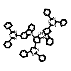 N#Cc1c(-n2c3ccccc3c3cc(-c4nc(-c5ccccc5)nc(-c5ccccc5)n4)ccc32)cc(-c2cc(-c3ccccc3)nc(-c3ccccc3)n2)cc1-n1c2ccccc2c2cc(-c3nc(-c4ccccc4)nc(-c4ccccc4)n3)ccc21